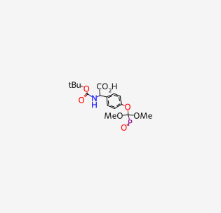 COC(OC)(Oc1ccc(C(NC(=O)OC(C)(C)C)C(=O)O)cc1)P=O